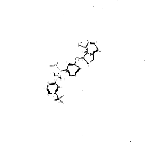 CCN(c1cccc(OC2CCc3cccc(Cl)c32)c1)S(=O)(=O)c1cccc(C(F)(F)F)c1